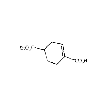 CCOC(=O)C1CC=C(C(=O)O)CC1